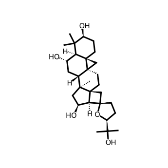 CC(C)(O)[C@@H]1CC[C@@]2(C[C@]34CC[C@@]56C[C@@]57CC[C@H](O)C(C)(C)[C@@H]7[C@@H](O)C[C@H]6[C@]3(C)C[C@H](O)[C@H]24)O1